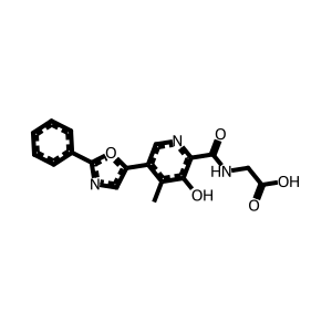 Cc1c(-c2cnc(-c3ccccc3)o2)cnc(C(=O)NCC(=O)O)c1O